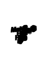 CNC(=O)c1[nH]c(C(=O)NC2CCCC2)cc1O[C@@H](C)c1ccccc1